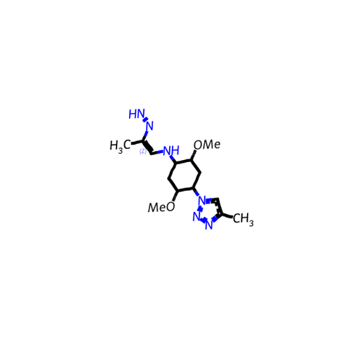 COC1CC(n2cc(C)nn2)C(OC)CC1N/C=C(/C)N=N